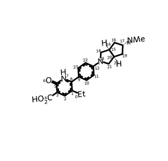 CCc1cc(C(=O)O)c(=O)[nH]c1-c1ccc(N2C[C@H]3C[C@H](NC)C[C@H]3C2)cc1